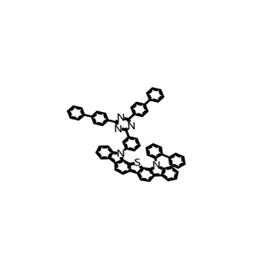 c1ccc(-c2ccc(-c3nc(-c4ccc(-c5ccccc5)cc4)nc(-c4cccc(-n5c6ccccc6c6ccc7c8ccc9c%10ccccc%10n(-c%10ccccc%10-c%10ccccc%10)c9c8sc7c65)c4)n3)cc2)cc1